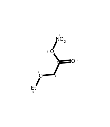 CCOCC(=O)O[N+](=O)[O-]